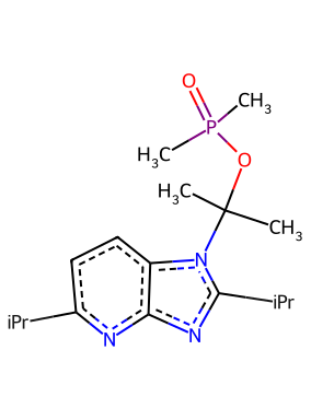 CC(C)c1ccc2c(n1)nc(C(C)C)n2C(C)(C)OP(C)(C)=O